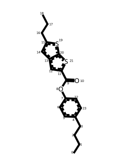 CCCCc1ccc(OC(=O)c2cc3cc(CCC)sc3s2)cc1